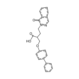 O=C(O)C(CCn1ncc2ccccc2c1=O)COc1ccc(-c2ccccc2)cc1